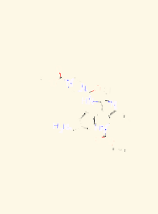 Cc1nc(CC(C)C)c(CNC(=O)OC(C)(C)C)c(-c2ccc(CN)cc2)c1NC(=O)N1CCN(C(=O)OC(C)(C)C)CC1